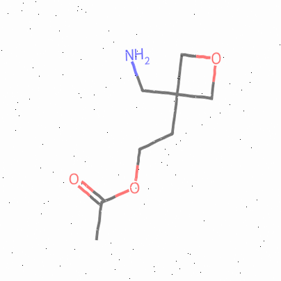 CC(=O)OCCC1(CN)COC1